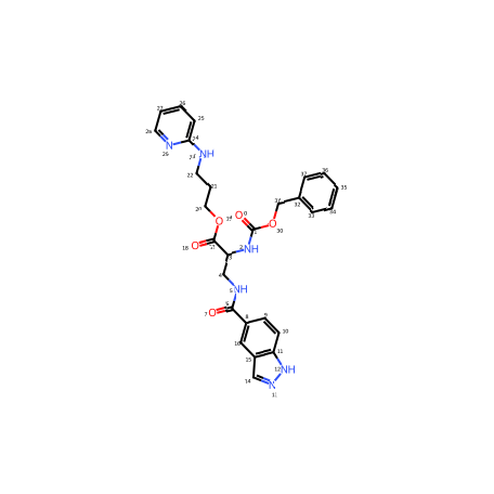 O=C(NC(CNC(=O)c1ccc2[nH]ncc2c1)C(=O)OCCCNc1ccccn1)OCc1ccccc1